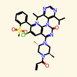 C=CC(=O)N1C[C@H](C)N(c2nc(=O)n(-c3c(C(C)C)ncnc3C(C)C)c3nc(-c4ccccc4S(C)(=O)=O)c(Cl)cc23)C[C@H]1C